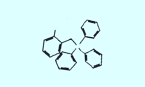 Clc1ccccc1C[P+](c1ccccc1)(c1ccccc1)c1ccccc1.[Br-]